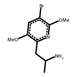 COc1cc(Br)c(OC)nc1CC(C)N